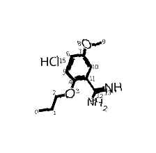 CCCOc1ccc(OC)cc1C(=N)N.Cl